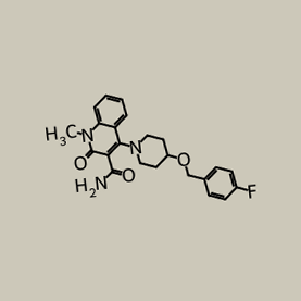 Cn1c(=O)c(C(N)=O)c(N2CCC(OCc3ccc(F)cc3)CC2)c2ccccc21